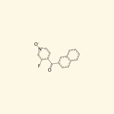 O=C(c1ccc2ccccc2c1)c1cc[n+]([O-])cc1F